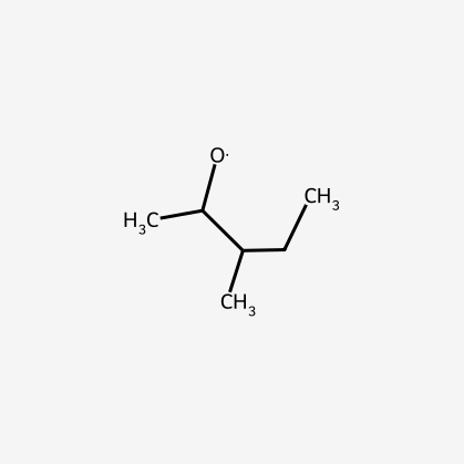 CCC(C)C(C)[O]